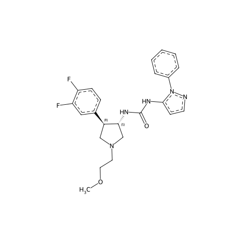 COCCN1C[C@@H](NC(=O)Nc2ccnn2-c2ccccc2)[C@H](c2ccc(F)c(F)c2)C1